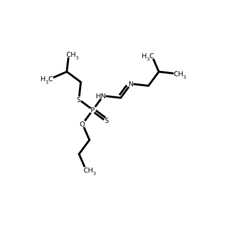 CCCOP(=S)(NC=NCC(C)C)SCC(C)C